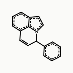 C1=CC(c2ccccc2)n2ccc3cccc1c32